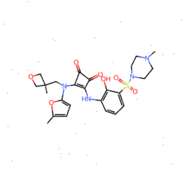 Cc1ccc(N(CC2(C)COC2)c2c(Nc3cccc(S(=O)(=O)N4CCN(C)CC4)c3O)c(=O)c2=O)o1